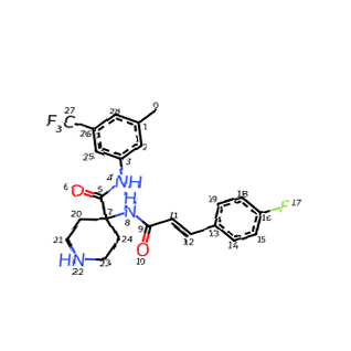 Cc1cc(NC(=O)C2(NC(=O)/C=C/c3ccc(F)cc3)CCNCC2)cc(C(F)(F)F)c1